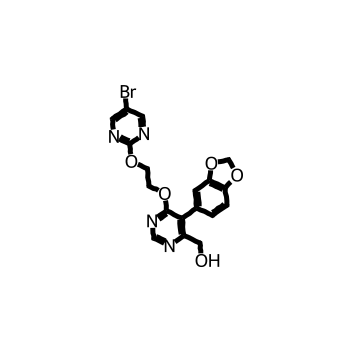 OCc1ncnc(OCCOc2ncc(Br)cn2)c1-c1ccc2c(c1)OCO2